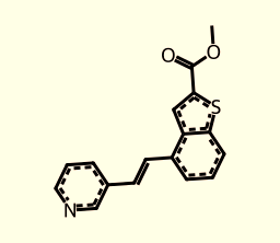 COC(=O)c1cc2c(C=Cc3cccnc3)cccc2s1